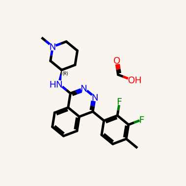 Cc1ccc(-c2nnc(N[C@@H]3CCCN(C)C3)c3ccccc23)c(F)c1F.O=CO